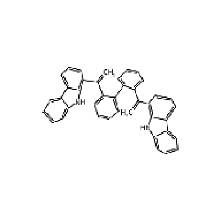 C=C(c1ccccc1-c1ccccc1C(=C)c1cccc2c1[nH]c1ccccc12)c1cccc2c1[nH]c1ccccc12